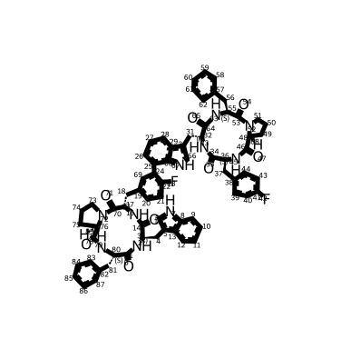 O=C1N[C@H](Cc2c[nH]c3ccccc23)C(=O)N[C@@H](Cc2ccc(F)c(-c3cccc4c(C[C@H]5NC(=O)[C@H](Cc6ccc(F)cc6)NC(=O)[C@H]6CCCN6C(=O)[C@H](Cc6ccccc6)NC5=O)c[nH]c34)c2)C(=O)N2CCC[C@@H]2C(=O)N[C@H]1Cc1ccccc1